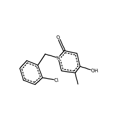 Cc1cn(Cc2ccccc2Cl)c(=O)cc1O